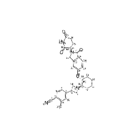 N#Cc1ccc(C2CN([C@@H]3CCCC[C@H]3Oc3ccc4c(c3)CN([C@@H]3CCC(=O)NC3=O)C4=O)C2)cc1F